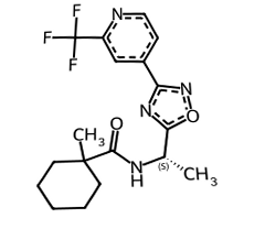 C[C@H](NC(=O)C1(C)CCCCC1)c1nc(-c2ccnc(C(F)(F)F)c2)no1